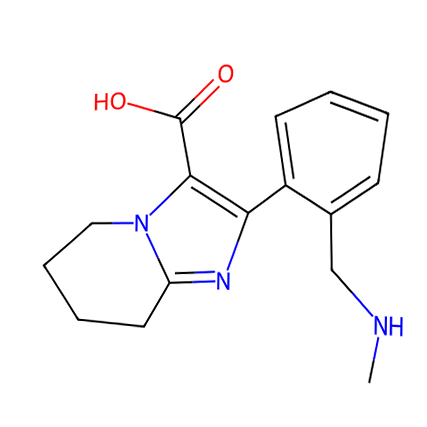 CNCc1ccccc1-c1nc2n(c1C(=O)O)CCCC2